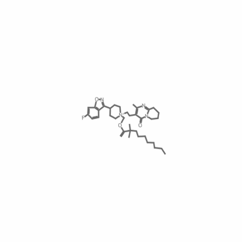 C=C(OC[N+]1(CCc2c(C)nc3n(c2=O)CCCC3)CCC(c2noc3cc(F)ccc23)CC1)C(C)(C)CCCCCCCC